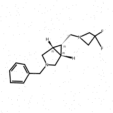 FC1(F)CN(C[C@@H]2[C@@H]3CN(Cc4ccccc4)C[C@@H]32)C1